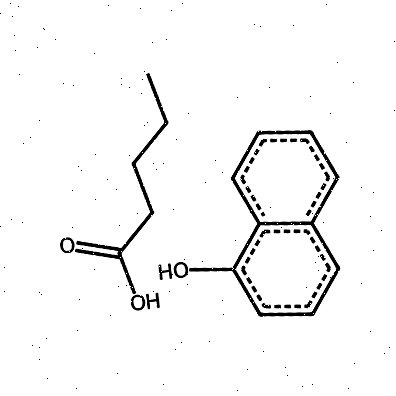 CCCCC(=O)O.Oc1cccc2ccccc12